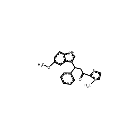 COc1ccc2[nH]cc(C(CC(=O)c3nccn3C)c3ccccc3)c2c1